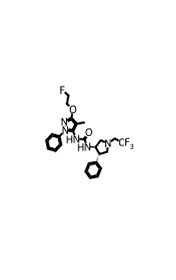 Cc1c(OCCF)nn(-c2ccccc2)c1NC(=O)N[C@H]1CN(CC(F)(F)F)C[C@@H]1c1ccccc1